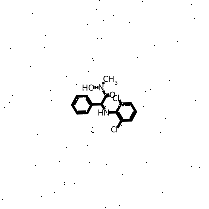 CN(O)C(=O)C(Nc1c(Cl)cccc1Cl)c1ccccc1